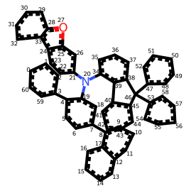 c1ccc(-c2ccc(-c3cccc4ccccc34)cc2N(c2ccc3c(c2)oc2ccccc23)c2cccc3c2-c2ccccc2C3(c2ccccc2)c2ccccc2)cc1